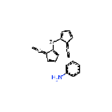 C=C=C1C=CC=[C]1[Zr][C]1=CC=CC1=C=C.Nc1ccccc1